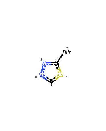 CCCc1nncs1